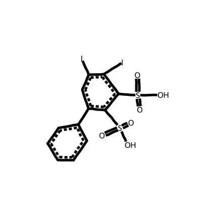 O=S(=O)(O)c1c(-c2ccccc2)cc(I)c(I)c1S(=O)(=O)O